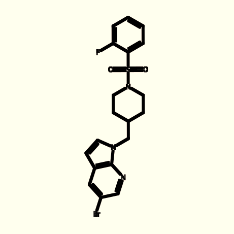 O=S(=O)(c1ccccc1F)N1CCC(Cn2ccc3cc(Br)cnc32)CC1